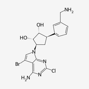 NCc1cccc([C@H]2C[C@@H](n3cc(Br)c4c(N)nc(Cl)nc43)[C@H](O)[C@@H]2O)c1